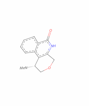 CN[C@H]1COCc2[nH]c(=O)c3ccccc3c21